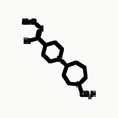 CC/C(=N\OC)C1CCN([C@H]2CCCN(C(=O)O)CC2)CC1